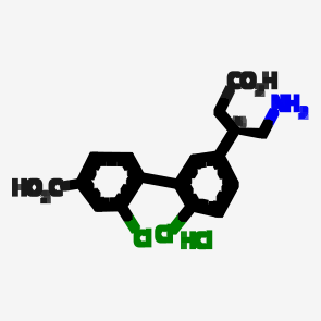 Cl.NC[C@H](CC(=O)O)c1ccc(Cl)c(-c2ccc(C(=O)O)cc2Cl)c1